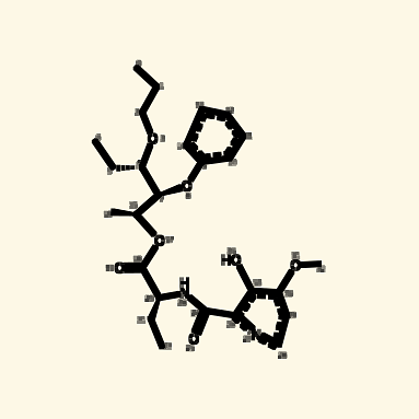 CCCO[C@@H](CC)[C@@H](Oc1ccccc1)[C@H](C)OC(=O)[C@H](CC)NC(=O)c1nccc(OC)c1O